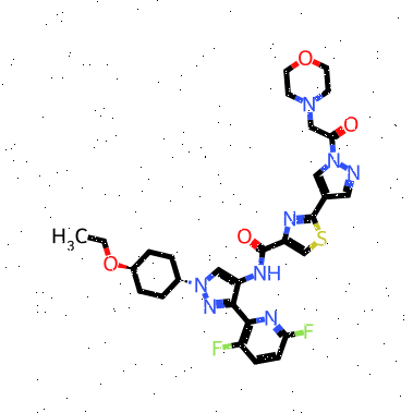 CCO[C@H]1CC[C@H](n2cc(NC(=O)c3csc(-c4cnn(C(=O)CN5CCOCC5)c4)n3)c(-c3nc(F)ccc3F)n2)CC1